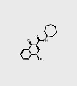 CN1C=C(C(=O)NC2CCCCCC2)C(=O)C2C=CC=CC21